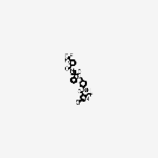 O=C(NC1CCC(CN2C(=O)C3(CN(C(=O)c4cccc(C(F)(F)F)n4)C3)c3ccccc32)CC1)c1cc(Cl)cnc1C(F)F